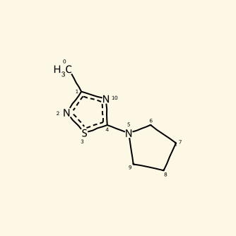 Cc1nsc(N2C[CH]CC2)n1